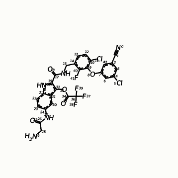 N#Cc1cc(Cl)cc(Oc2c(Cl)ccc(CNC(=O)c3[nH]c4ccc(NC(=O)CN)cc4c3OC(=O)C(F)(F)F)c2F)c1